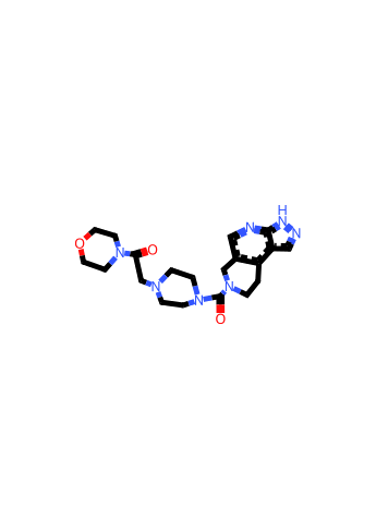 O=C(CN1CCN(C(=O)N2CCc3c(cnc4[nH]ncc34)C2)CC1)N1CCOCC1